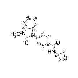 Cn1c(=O)n(-c2ccc(C(=O)NC3COC3)cc2)c2ccccc21